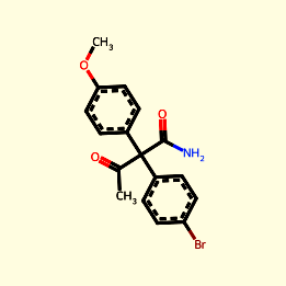 COc1ccc(C(C(C)=O)(C(N)=O)c2ccc(Br)cc2)cc1